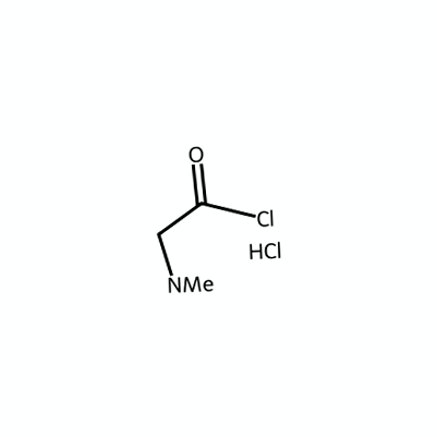 CNCC(=O)Cl.Cl